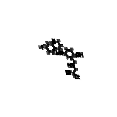 CCC(CC)CNCc1cc(Nc2ccnc3cc(I)ccc23)ccc1O